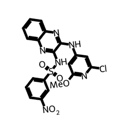 COc1cc(Nc2nc3ccccc3nc2NS(=O)(=O)c2cccc([N+](=O)[O-])c2)cc(Cl)n1